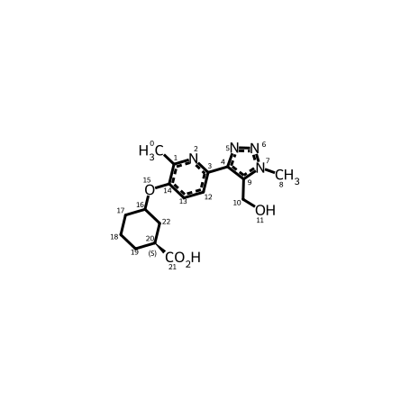 Cc1nc(-c2nnn(C)c2CO)ccc1OC1CCC[C@H](C(=O)O)C1